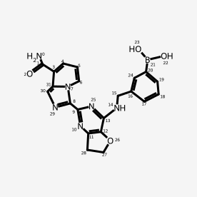 NC(=O)c1cccn2c(-c3nc4c(c(NCc5cccc(B(O)O)c5)n3)OCC4)ncc12